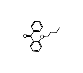 CCCCOc1ccccc1C(=O)c1ccccc1